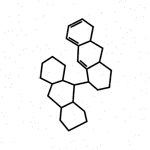 [CH]1CCCC2C1CC1CCCCC1C2C1CCCC2CC3CC=CC=C3C=C21